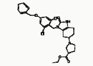 CCOC(=O)C1CCN(C2CCc3[nH]c(=O)n(Cc4c(Cl)cc(OCc5ccccc5)cc4Cl)c3C2)C1